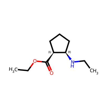 CCN[C@@H]1CCC[C@@H]1C(=O)OCC